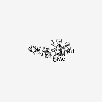 COc1cc(S(=O)(=O)N2CCC(N3CCOCC3)CC2)ccc1Nc1nc(NC2CCCC2)c2c(Cl)c[nH]c2n1